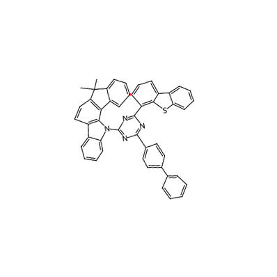 CC1(C)c2ccccc2-c2c1ccc1c3ccccc3n(-c3nc(-c4ccc(-c5ccccc5)cc4)nc(-c4cccc5c4sc4ccccc45)n3)c21